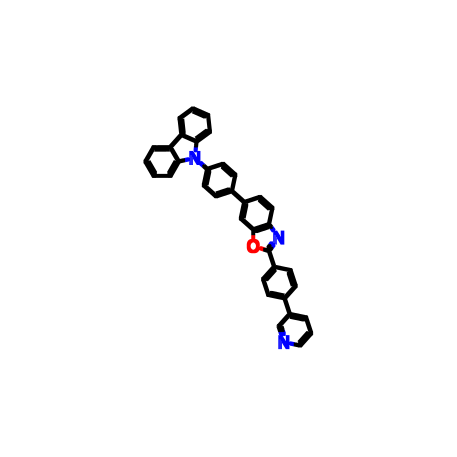 c1cncc(-c2ccc(-c3nc4ccc(-c5ccc(-n6c7ccccc7c7ccccc76)cc5)cc4o3)cc2)c1